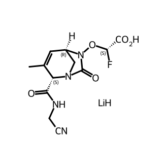 CC1=C[C@@H]2CN(C(=O)N2O[C@@H](F)C(=O)O)[C@@H]1C(=O)NCC#N.[LiH]